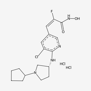 Cl.Cl.O=C(NO)/C(F)=C\c1cnc(N[C@@H]2CCN(C3CCCC3)C2)c(Cl)c1